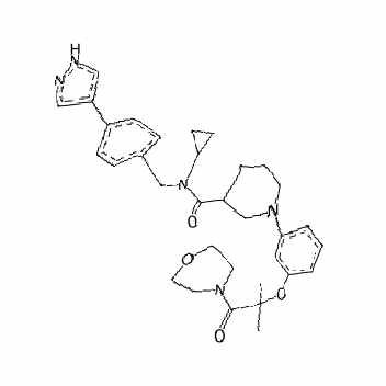 CC(C)(Oc1cccc(N2CCCC(C(=O)N(Cc3ccc(-c4cn[nH]c4)cc3)C3CC3)C2)c1)C(=O)N1CCOCC1